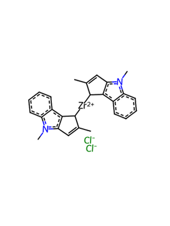 CC1=Cc2c(c3ccccc3n2C)[CH]1[Zr+2][CH]1C(C)=Cc2c1c1ccccc1n2C.[Cl-].[Cl-]